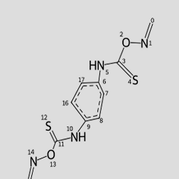 C=NOC(=S)Nc1ccc(NC(=S)ON=C)cc1